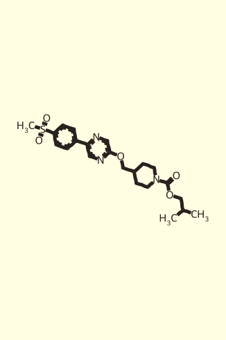 CC(C)COC(=O)N1CCC(COc2cnc(-c3ccc(S(C)(=O)=O)cc3)cn2)CC1